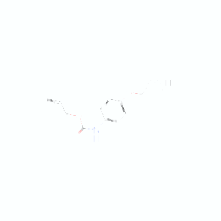 C=CCOC(=O)Nc1ccc(OCC(=O)O)cc1